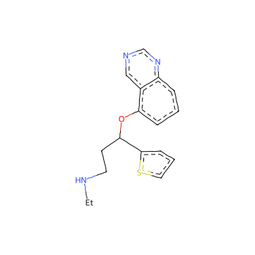 CCNCCC(Oc1cccc2ncncc12)c1cccs1